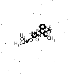 CCN(CC)CCOc1c[nH]c2nc(-c3ccccc3)c(-c3cc(C)nc(C(F)(F)F)c3)nc2c1=O